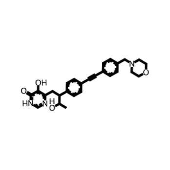 CC(O)C(Cc1nc[nH]c(=O)c1O)c1ccc(C#Cc2ccc(CN3CCOCC3)cc2)cc1